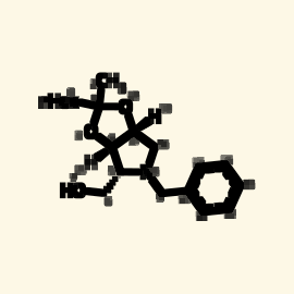 CCCCCCC1(C)O[C@H]2[C@@H](CO)N(Cc3ccccc3)C[C@H]2O1